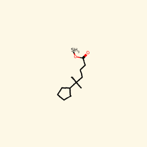 CC(C)(CCCC(=O)O[SiH3])C1CCCC1